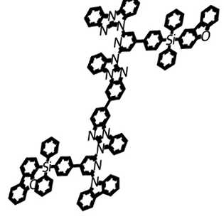 c1ccc([Si](c2ccccc2)(c2ccc(-c3cc(-n4c5ccccc5n5c6ccccc6nc45)nc(-n4c5ccccc5n5c6cc(-c7ccc8nc9n(-c%10cc(-c%11ccc([Si](c%12ccccc%12)(c%12ccccc%12)c%12cccc%13c%12oc%12ccccc%12%13)cc%11)cc(-n%11c%12ccccc%12c%12ccccc%12%11)n%10)c%10ccccc%10n9c8c7)ccc6nc45)c3)cc2)c2ccc3oc4ccccc4c3c2)cc1